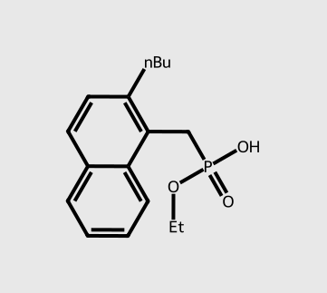 CCCCc1ccc2ccccc2c1CP(=O)(O)OCC